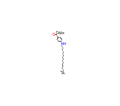 COC(=O)c1ccc(NCCCCCCCCCCCCCC[Si](C)(C)C)cc1